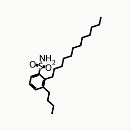 CCCCCCCCCCCCc1c(CCCC)cccc1S(N)(=O)=O